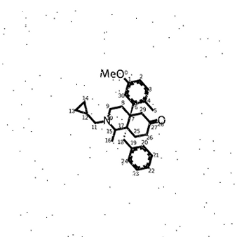 COc1ccc(C)c([C@]23CCN(CC4CC4)C(C)[C@]2(Cc2ccccc2)CCC(=O)C3)c1